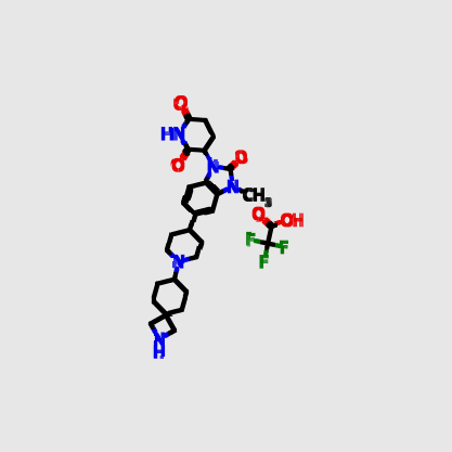 Cn1c(=O)n(C2CCC(=O)NC2=O)c2ccc(C3CCN(C4CCC5(CC4)CNC5)CC3)cc21.O=C(O)C(F)(F)F